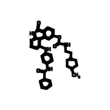 CN1CCN(CCNC(=O)Oc2ccc3c(=O)[nH]c4nccc(Nc5ccc(NC(=O)c6ccccc6)cc5)c4c3c2)CC1